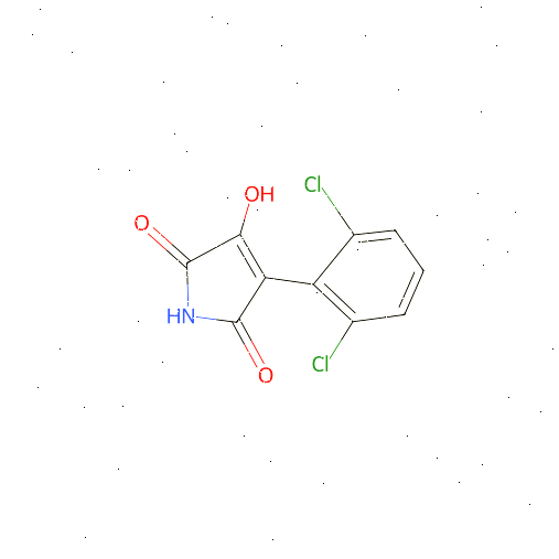 O=C1NC(=O)C(c2c(Cl)cccc2Cl)=C1O